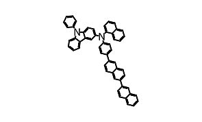 c1ccc(-n2c3ccccc3c3cc(N(c4ccc(-c5ccc6cc(-c7ccc8ccccc8c7)ccc6c5)cc4)c4cccc5ccccc45)ccc32)cc1